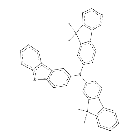 CC1(C)c2ccccc2-c2ccc(N(c3ccc4c(c3)C(C)(C)c3ccccc3-4)c3ccc4sc5ccccc5c4c3)cc21